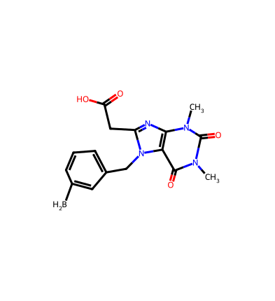 Bc1cccc(Cn2c(CC(=O)O)nc3c2c(=O)n(C)c(=O)n3C)c1